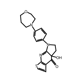 O=C1c2ccsc2N=C2N(c3ccc(N4CCCOCC4)cc3)CCC12O